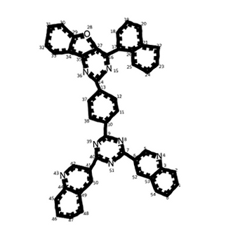 c1ccc2ncc(-c3nc(-c4ccc(-c5nc(-c6cccc7ccccc67)c6oc7ccccc7c6n5)cc4)nc(-c4cnc5ccccc5c4)n3)cc2c1